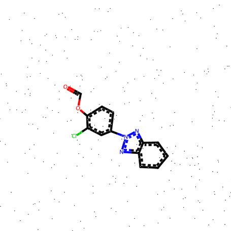 O=COc1ccc(-n2nc3ccccc3n2)cc1Cl